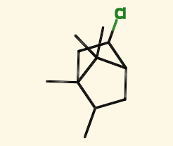 CC1CC2C(Cl)CC1(C)C2(C)C